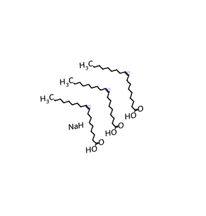 CCCCCCCC/C=C\CCCCCCCC(=O)O.CCCCCCCC/C=C\CCCCCCCC(=O)O.CCCCCCCC/C=C\CCCCCCCC(=O)O.[NaH]